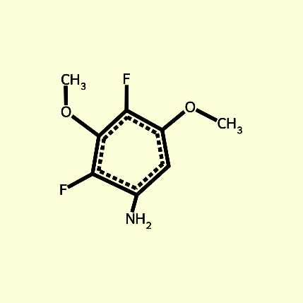 COc1cc(N)c(F)c(OC)c1F